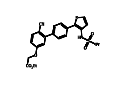 CCOC(=O)COc1ccc(C#N)c(-c2ccc(-c3sccc3NS(=O)(=O)C(C)C)cc2)c1